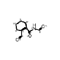 O=CNC(=O)C1=C(C=O)CCCC1